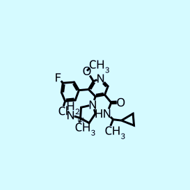 COc1ncc(C(=O)NC(C)C2CC2)c(N2CC[C@](C)(N)C2)c1-c1cc(F)cc(Cl)c1